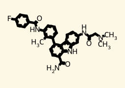 Cc1c(NC(=O)c2ccc(F)cc2)cccc1-c1ccc(C(N)=O)c2[nH]c3cc(NC(=O)CN(C)C)ccc3c12